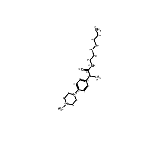 CN1CCN(c2ccc(N(C)C(=O)NCCSSCCN)cc2)CC1